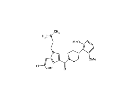 COc1cccc(OC)c1C1CCN(C(=O)c2cn(CCN(C)C)c3cc(Cl)ccc23)CC1